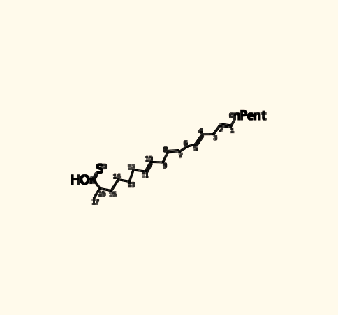 CCCCCC=CCC=CCC=CCC=CCCCCC(C)C(O)=S